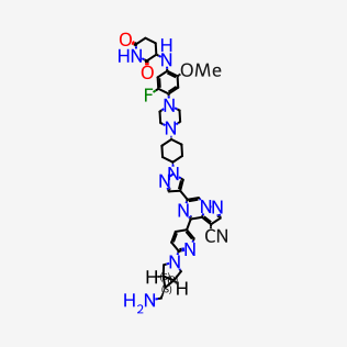 COc1cc(N2CCN([C@H]3CC[C@H](n4cc(-c5cn6ncc(C#N)c6c(-c6ccc(N7C[C@@H]8[C@@H](CN)[C@@H]8C7)nc6)n5)cn4)CC3)CC2)c(F)cc1NC1CCC(=O)NC1=O